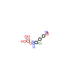 OC[C@H]1OC[C@H](Oc2nc3cc(-c4ccc(-c5ccc(-c6ncco6)cc5)cc4)c(Cl)cc3[nH]2)C[C@@H]1O